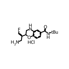 CC(C)(C)NC(=O)c1ccc2c(c1)NCC(/C(=C\F)CN)O2.Cl